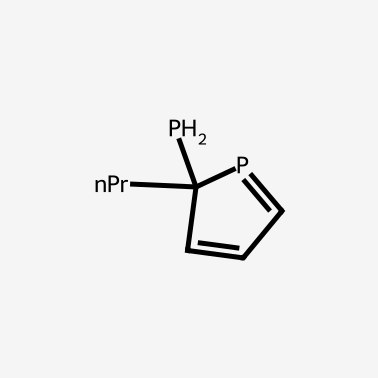 CCCC1(P)C=CC=P1